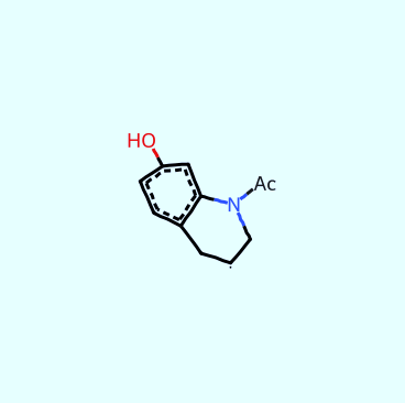 CC(=O)N1C[CH]Cc2ccc(O)cc21